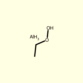 CCOO.[AlH3]